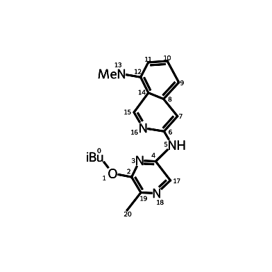 CCC(C)Oc1nc(Nc2cc3cccc(NC)c3cn2)cnc1C